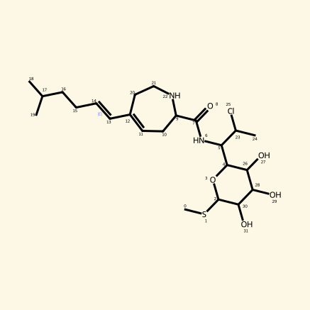 CSC1OC(C(NC(=O)C2CC=C(/C=C/CCC(C)C)CCN2)C(C)Cl)C(O)C(O)C1O